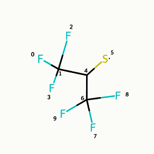 FC(F)(F)C([S])C(F)(F)F